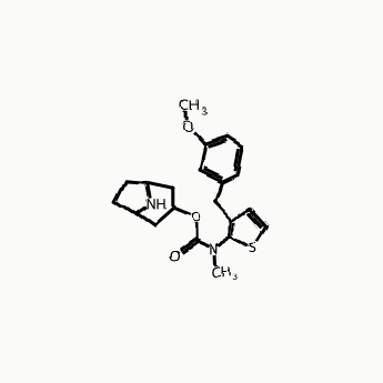 COc1cccc(Cc2ccsc2N(C)C(=O)OC2CC3CCC(C2)N3)c1